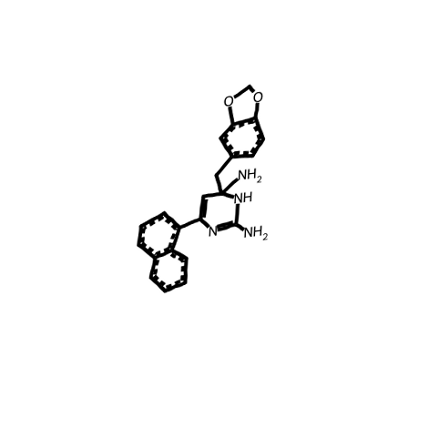 NC1=NC(c2cccc3ccccc23)=CC(N)(Cc2ccc3c(c2)OCO3)N1